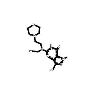 CCCc1nn(C)c2c(=O)[nH]c(N(CCN3CCOCC3)CC(C)C)nc12